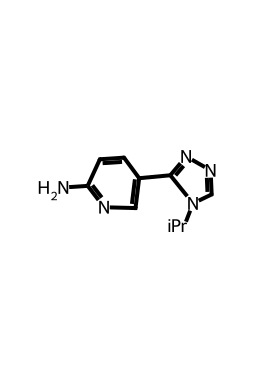 CC(C)n1cnnc1-c1ccc(N)nc1